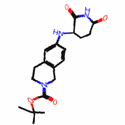 CC(C)(C)OC(=O)N1CCc2cc(NC3CCC(=O)NC3=O)ccc2C1